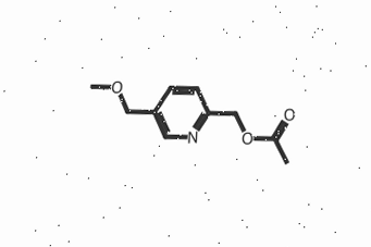 COCc1ccc(COC(C)=O)nc1